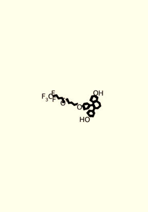 [O-][S+](CCCCCOc1ccc(C2=C(c3ccc(O)cc3)CCCc3cc(O)ccc32)cc1)CCCC(F)(F)C(F)(F)F